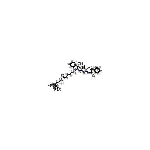 CCO[Si](CCCNC(=O)CCCCCN1/C(=C/C=C/C=C/C2=[N+](CC)c3ccccc3C2(C)C)C(C)(C)c2ccccc21)(OCC)OCC